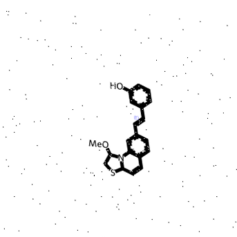 COC1CSC2C=Cc3ccc(/C=C/c4cccc(O)c4)cc3N12